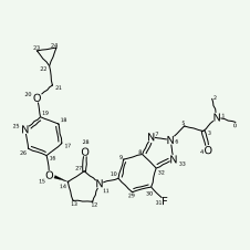 CN(C)C(=O)Cn1nc2cc(N3CC[C@@H](Oc4ccc(OCC5CC5)nc4)C3=O)cc(F)c2n1